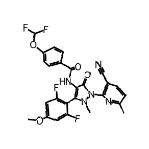 COc1cc(F)c(-c2c(NC(=O)c3ccc(OC(F)F)cc3)c(=O)n(-c3nc(C)ccc3C#N)n2C)c(F)c1